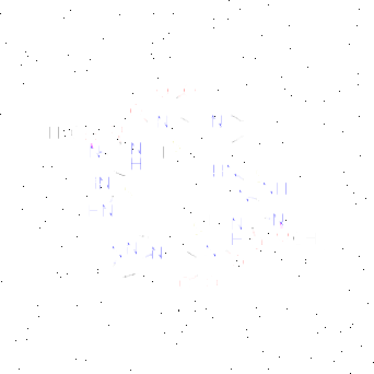 CO/N=C(\C(=O)N[C@@H]1C(=O)N2C(C(=O)[O-])=C(C[n+]3cccc4c3CCC4)CS[C@@H]12)c1csc(=N)[nH]1.CO/N=C(\C(=O)N[C@@H]1C(=O)N2C(C(=O)[O-])=C(C[n+]3ccn4ncccc43)CS[C@H]12)c1nc(=N)s[nH]1